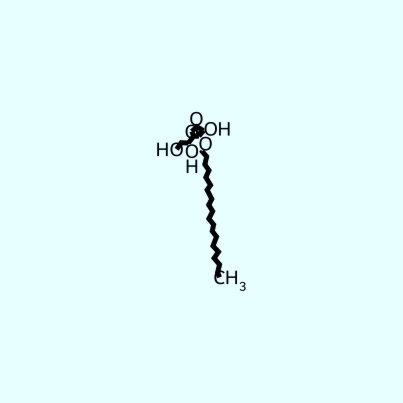 CCCCCCCCCCCCCCCCCCCCOC1=C(O)C(=O)OC1C(O)CO